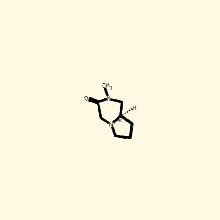 CN1C[C@H]2CCCN2CC1=O